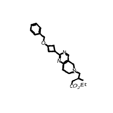 CCOC(=O)CC(C)CN1CCc2nc(C3CC(OCc4ccccc4)C3)ncc2C1